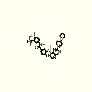 COc1ccc(NC(=O)c2ccc(C)c(Nc3ncnc4cnc(N5CCC(N6CCCC6)CC5)nc34)c2)cc1C(F)(F)F